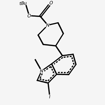 Cn1cc(I)c2cccc(C3CCN(C(=O)OC(C)(C)C)CC3)c21